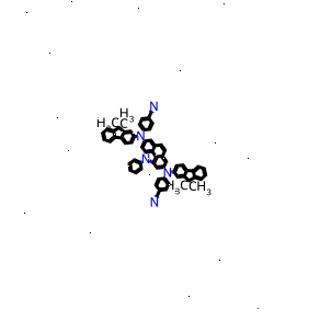 CC1(C)c2ccccc2-c2ccc(N(c3ccc(C#N)cc3)c3cc4ccc5cc(N(c6ccc(C#N)cc6)c6ccc7c(c6)C(C)(C)c6ccccc6-7)cc6c5c4c(c3)n6-c3ccccc3)cc21